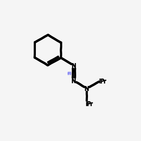 CC(C)N(/N=N/C1=CCCCC1)C(C)C